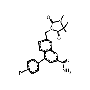 CN1C(=O)N(Cc2ccc3c(-c4ccc(F)cc4)cc(C(N)=O)nc3c2)C(=O)C1(C)C